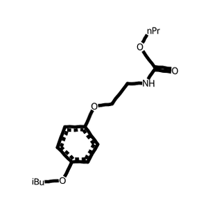 CCCOC(=O)NCCOc1ccc(OC(C)CC)cc1